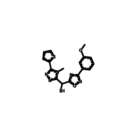 COc1cccc(-c2noc(C(S)c3nnc(-c4cccs4)n3C)n2)c1